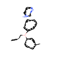 C=CCB(c1ccccc1)c1cccc(C)c1.c1c[nH]cn1